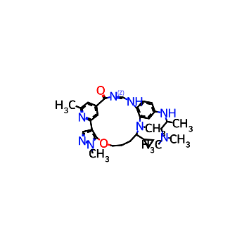 Cc1cc2cc(n1)-c1cnn(C)c1OCCCC(C1CC1)N(C)c1cc(NC(C)CN(C)C)ccc1N/C=N\C2=O